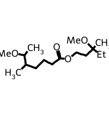 CCC(C)(CCOC(=O)CCCC(C)C(C)OC)OC